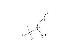 CCCN([NH])C(C)(C)C